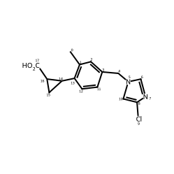 Cc1cc(Cn2cnc(Cl)c2)ccc1C1CC1C(=O)O